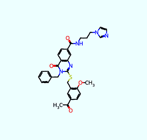 COc1ccc(C(C)=O)cc1CSc1nc2cc(C(=O)NCCCn3ccnc3)ccc2c(=O)n1Cc1ccccc1